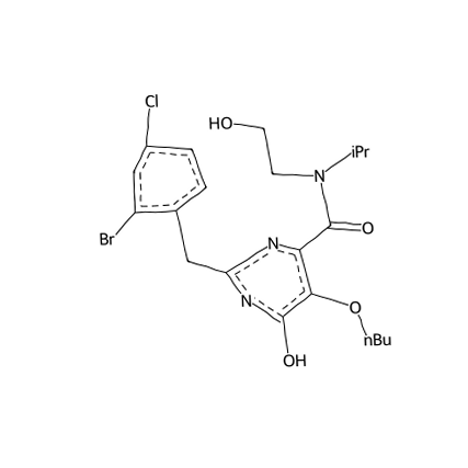 CCCCOc1c(O)nc(Cc2ccc(Cl)cc2Br)nc1C(=O)N(CCO)C(C)C